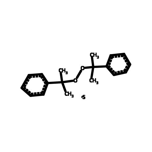 CC(C)(OOC(C)(C)c1ccccc1)c1ccccc1.[S]